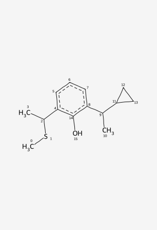 CSC(C)c1cccc(C(C)C2CC2)c1O